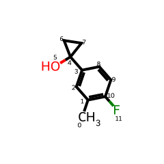 Cc1cc(C2(O)CC2)ccc1F